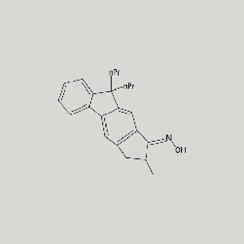 CCCC1(CCC)c2ccccc2-c2cc3c(cc21)C(=NO)C(C)C3